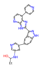 CCC(O)Nc1cncc(-c2ccc3[nH]nc(-c4nc5c(-c6ccncc6)ccnc5[nH]4)c3c2)c1